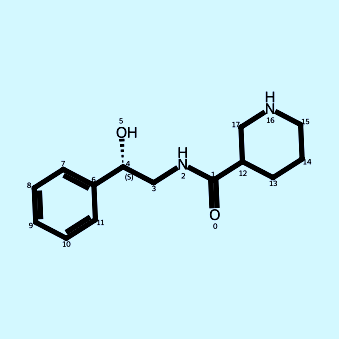 O=C(NC[C@@H](O)c1ccccc1)C1CCCNC1